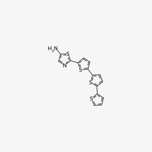 Nc1cnc(-c2ccc(-c3ccc(-c4cccs4)s3)s2)s1